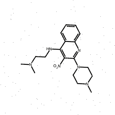 CN(C)CCNc1c([N+](=O)[O-])c(N2CCN(C)CC2)nc2ccccc12